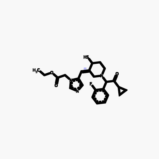 CCOC(=O)Cn1cncc1/C=C1\CN(C(C(=O)C2CC2)c2ccccc2F)CCC1S